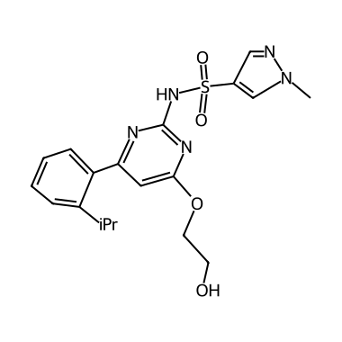 CC(C)c1ccccc1-c1cc(OCCO)nc(NS(=O)(=O)c2cnn(C)c2)n1